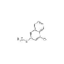 COc1cc([O])c2ccccc2c1